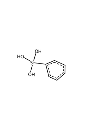 O[Si](O)(O)c1ccccc1